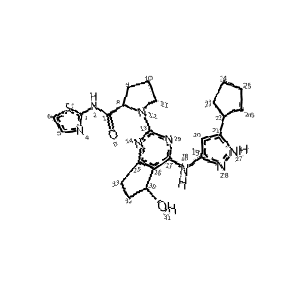 O=C(Nc1nccs1)[C@H]1CCCN1c1nc2c(c(Nc3cc(C4CCCC4)[nH]n3)n1)C(O)CC2